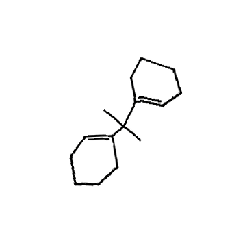 CC(C)(C1=CCCCC1)C1=CCCCC1